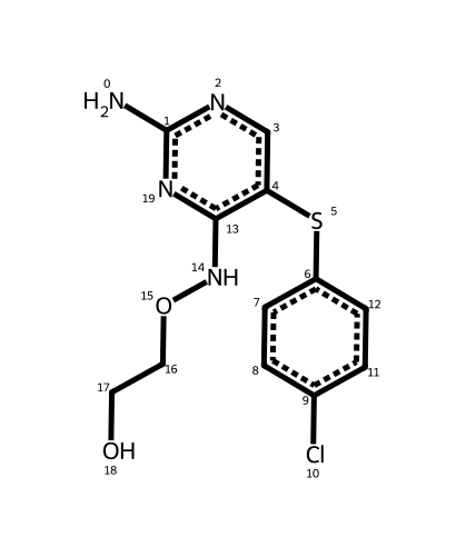 Nc1ncc(Sc2ccc(Cl)cc2)c(NOCCO)n1